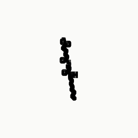 CCCCCCCCNC(=O)C=CSC(=O)CCCCC(=O)OC